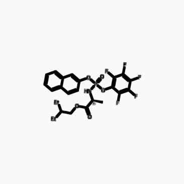 CCC(CC)COC(=O)[C@H](C)NP(=O)(Oc1ccc2ccccc2c1)Oc1c(F)c(F)c(F)c(F)c1F